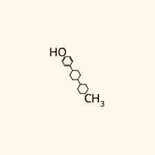 CC1CCC(C2CCC(c3ccc(O)cc3)CC2)CC1